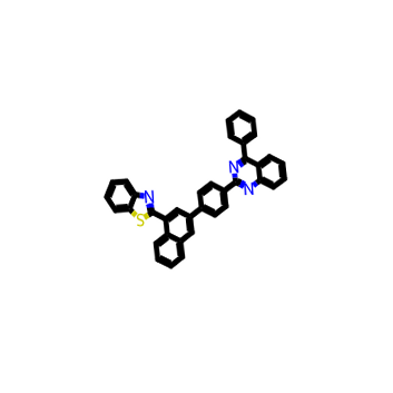 c1ccc(-c2nc(-c3ccc(-c4cc(-c5nc6ccccc6s5)c5ccccc5c4)cc3)nc3ccccc23)cc1